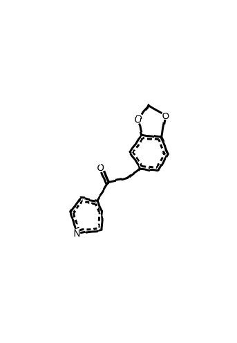 O=C(Cc1ccc2c(c1)OCO2)c1ccncc1